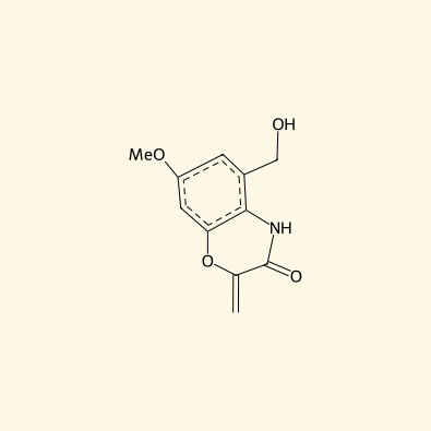 C=C1Oc2cc(OC)cc(CO)c2NC1=O